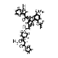 CSc1ccc(OC(F)F)c(-c2nn(CC(=O)N3CCC(N(C)CC(=O)N4CCCC4)CC3)cc2NC(=O)C2=C3N=CC=CN3NC2)c1